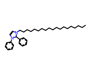 CCCCCCCCCCCCCCCCCCCN1C=CN(c2ccccc2)C1c1ccccc1